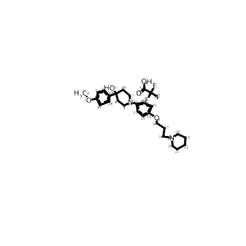 COc1ccc(C2(O)CCN(c3ccc(OCCCN4CCCCC4)cc3)CC2)cc1.O=C(O)C(F)(F)F